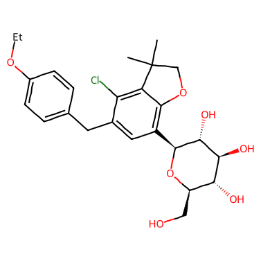 CCOc1ccc(Cc2cc([C@@H]3O[C@H](CO)[C@@H](O)[C@H](O)[C@H]3O)c3c(c2Cl)C(C)(C)CO3)cc1